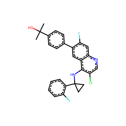 CC(C)(O)c1ccc(-c2cc3c(NC4(c5ccccc5F)CC4)c(Cl)cnc3cc2F)cc1